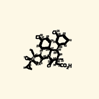 CC[C@@H](CN(C)S(=O)(=O)C1CC1)N1C(=O)[C@@](C)(CC(=O)O)C[C@H](c2cccc(Cl)c2)C1c1ccc(Cl)cc1